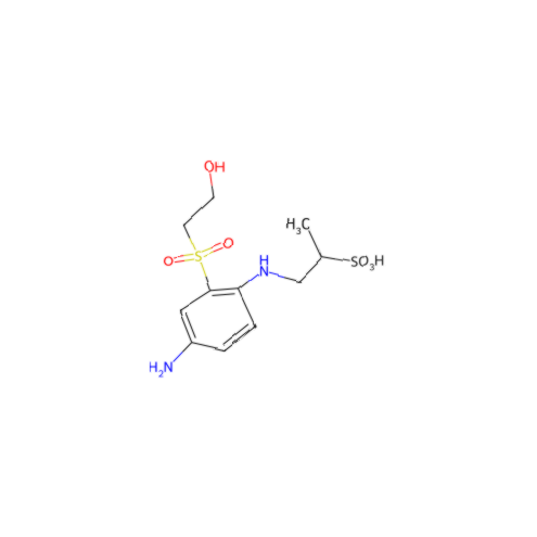 CC(CNc1ccc(N)cc1S(=O)(=O)CCO)S(=O)(=O)O